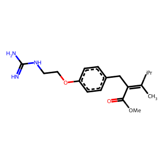 COC(=O)/C(Cc1ccc(OCCNC(=N)N)cc1)=C(\C)C(C)C